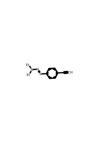 C#Cc1ccc(/N=N/N(CC)CC)cc1